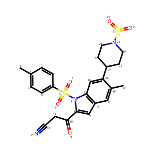 Cc1ccc(S(=O)(=O)n2c(C(=O)CC#N)cc3cc(C)c(C4CCN([SH](=O)=O)CC4)cc32)cc1